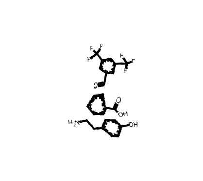 NCCc1ccc(O)cc1.O=C(O)c1ccccc1.O=Cc1cc(C(F)(F)F)cc(C(F)(F)F)c1